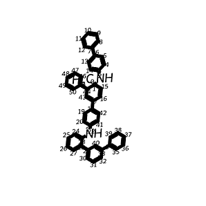 CC1(Nc2ccc(-c3ccccc3)cc2)C=CC(c2ccc(Nc3ccccc3-c3cccc(-c4ccccc4)c3)cc2)=CC1c1ccccc1